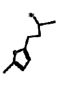 Cc1ccc(CCC(C)Br)o1